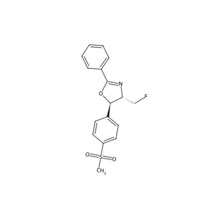 CS(=O)(=O)c1ccc([C@H]2OC(c3ccccc3)=N[C@@H]2CF)cc1